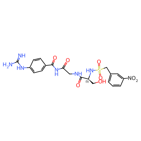 N=C(N)Nc1ccc(C(=O)NC(=O)CNC(=O)[C@H](CO)NS(=O)(=O)Cc2cccc([N+](=O)[O-])c2)cc1